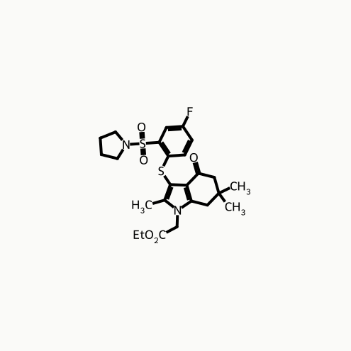 CCOC(=O)Cn1c(C)c(Sc2ccc(F)cc2S(=O)(=O)N2CCCC2)c2c1CC(C)(C)CC2=O